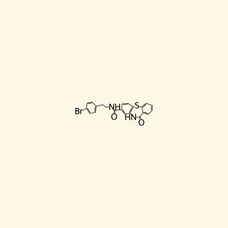 O=C(NCCc1ccc(Br)cc1)c1ccc2c(c1)NC(=O)c1ccccc1S2